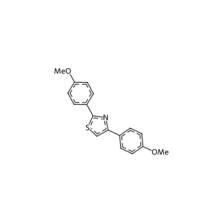 COc1ccc(-c2csc(-c3ccc(OC)cc3)n2)cc1